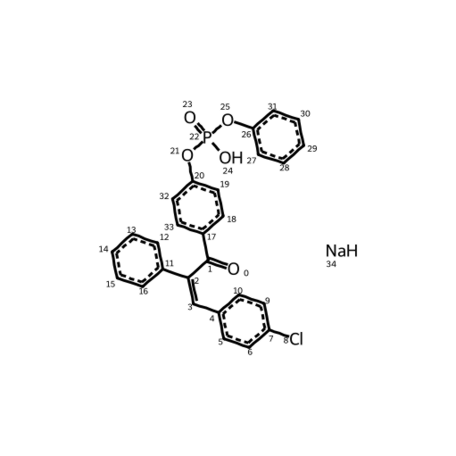 O=C(C(=Cc1ccc(Cl)cc1)c1ccccc1)c1ccc(OP(=O)(O)Oc2ccccc2)cc1.[NaH]